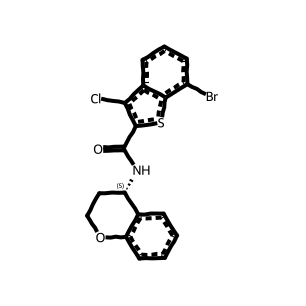 O=C(N[C@H]1CCOc2ccccc21)c1sc2c(Br)cccc2c1Cl